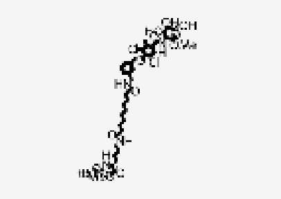 COC(=O)[C@H](CCCCNC(=O)CCCCCCCCC(=O)NCc1cccc(COc2c(Cl)cc(C(=O)N[C@H]3[C@@H](OC)O[C@H](CO)[C@@H](O)[C@@H]3O)c(C)c2Cl)c1)NC(=O)OC(C)(C)C